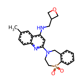 Cc1ccc2nc(N3CCS(=O)(=O)c4ccccc4C3)cc(NCC3COC3)c2c1